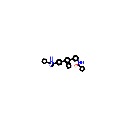 O=C(Nc1cccc(-c2ccc(-c3ccc(-c4cnc(C5CCCC5)[nH]4)cc3)c3c2C2CCC3C2)c1)C1CCCC1